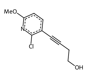 COc1ccc(C#CCCO)c(Cl)n1